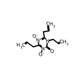 C=CCc1n(CC=C)c(=O)[n+]([O-])c(CC=C)[n+]1[O-]